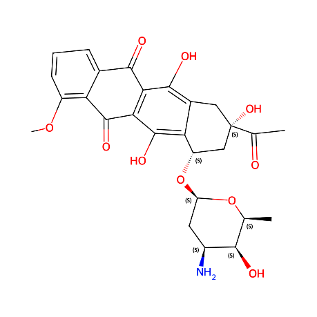 COc1cccc2c1C(=O)c1c(O)c3c(c(O)c1C2=O)C[C@@](O)(C(C)=O)C[C@@H]3O[C@@H]1C[C@H](N)[C@H](O)[C@H](C)O1